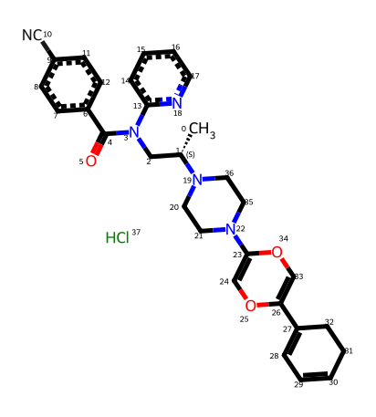 C[C@@H](CN(C(=O)c1ccc(C#N)cc1)c1ccccn1)N1CCN(C2=COC(C3=CC=CCC3)=CO2)CC1.Cl